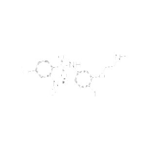 COc1ccc(S(=O)(=O)Nc2ccc(I)c(OCCN(C)C)c2)c([N+](=O)[O-])c1